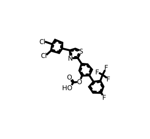 O=C(O)Oc1cc(-c2nc(-c3ccc(Cl)c(Cl)c3)cs2)ccc1-c1ccc(F)cc1C(F)(F)F